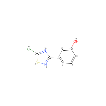 Oc1cccc(-c2nsc(Cl)n2)c1